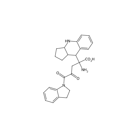 NC(CC(=O)C(=O)N1CCc2ccccc21)(C(=O)O)C1c2ccccc2NC2CCCC21